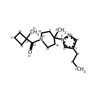 CCCc1cnn(C2(C)CCN(C(=O)C3(C)CCC3)CC2)c1